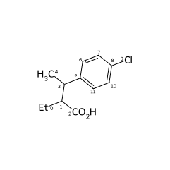 CCC(C(=O)O)C(C)c1[c]cc(Cl)cc1